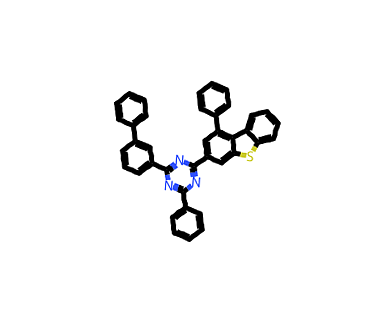 c1ccc(-c2cccc(-c3nc(-c4ccccc4)nc(-c4cc(-c5ccccc5)c5c(c4)sc4ccccc45)n3)c2)cc1